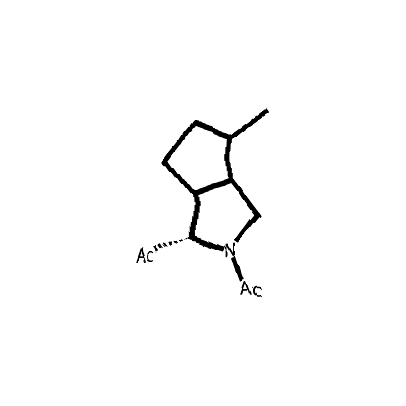 CC(=O)[C@@H]1C2CCC(C)C2CN1C(C)=O